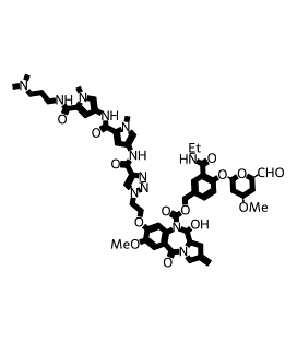 C=C1CC2C(O)N(C(=O)OCc3ccc(O[C@H]4C[C@@H](OC)C[C@@H](C=O)O4)c(C(=O)NCC)c3)c3cc(OCCn4cc(C(=O)Nc5cc(C(=O)Nc6cc(C(=O)NCCCN(C)C)n(C)c6)n(C)c5)nn4)c(OC)cc3C(=O)N2C1